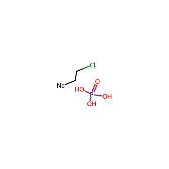 O=P(O)(O)O.[Na][CH2]CCl